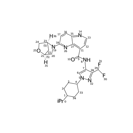 CC(C)C1CCC(n2cc(NC(=O)c3ccnc4ccc(N5C[C@@H]6C[C@H]5CO6)nc34)c(C(F)F)n2)CC1